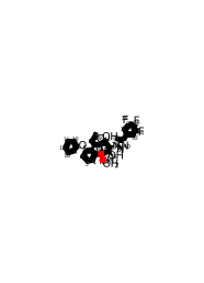 NC(=O)c1cccc(Oc2ccccc2)c1[C@H]1CCO[C@]12O[C@H](CO)[C@H](O)[C@H](n1cc(-c3cc(F)c(F)c(F)c3)nn1)[C@H]2O